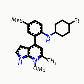 CCC1CCC(Nc2ccc(SC)cc2-c2cc(C)[n+](OC)c3[nH]ccc23)CC1